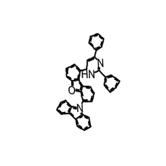 C1=C(c2ccccc2)N=C(c2ccccc2)NC1c1cccc2oc3c(-n4c5ccccc5c5ccccc54)cccc3c12